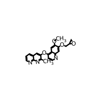 COc1cc2c(Oc3cc4cccnc4nc3C)ccnc2cc1OCC1CO1